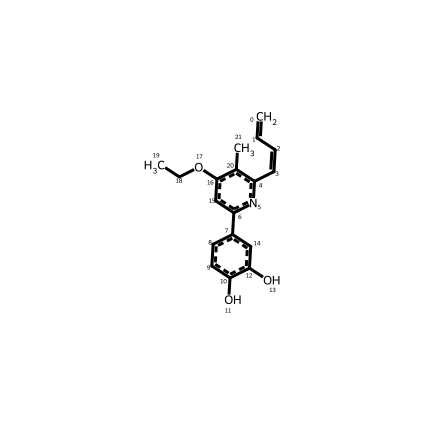 C=C/C=C\c1nc(-c2ccc(O)c(O)c2)cc(OCC)c1C